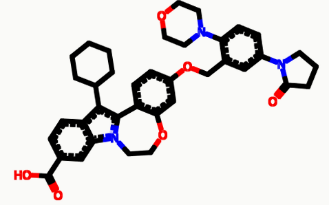 O=C(O)c1ccc2c(C3CCCCC3)c3n(c2c1)CCOc1cc(OCc2cc(N4CCCC4=O)ccc2N2CCOCC2)ccc1-3